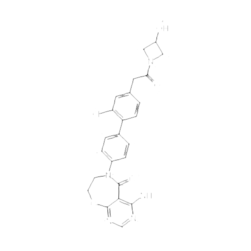 Nc1ncnc2c1C(=O)N(c1ccc(-c3ccc(CC(=O)N4CC(O)C4)cc3Cl)cc1)CCO2